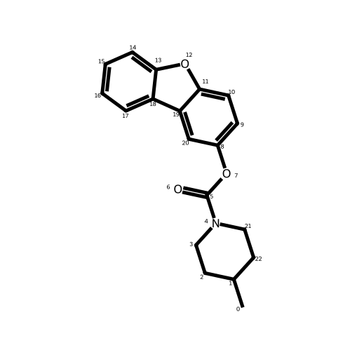 CC1CCN(C(=O)Oc2ccc3oc4ccccc4c3c2)CC1